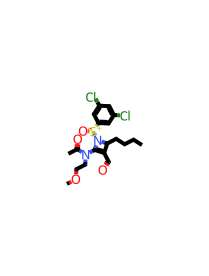 CCCCC1C(C=O)=C(N(CCOC)C(C)=O)N1[S+]([O-])c1cc(Cl)cc(Cl)c1